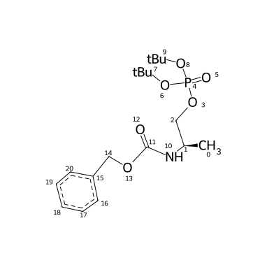 C[C@H](COP(=O)(OC(C)(C)C)OC(C)(C)C)NC(=O)OCc1ccccc1